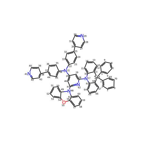 c1ccc([Si]2(c3ccccc3)c3ccccc3N(c3cc(N(c4ccc(-c5ccncc5)cc4)c4ccc(-c5ccncc5)cc4)cc(N4c5ccccc5Oc5ccccc54)n3)c3ccccc32)cc1